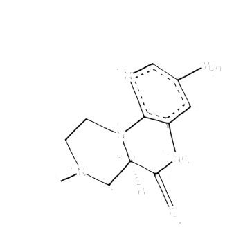 CN1CCN2c3ncc(C(C)(C)C)cc3NC(=O)[C@H]2C1